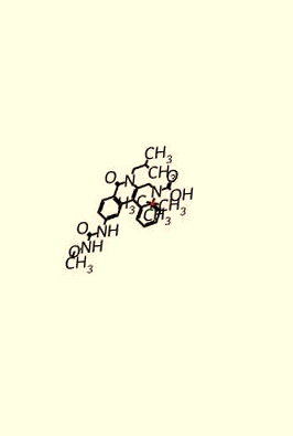 CONC(=O)Nc1ccc2c(=O)n(CC(C)C)c(CN(C(=O)O)C(C)(C)C)c(-c3ccccc3)c2c1